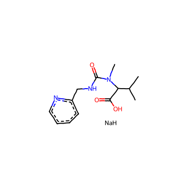 CC(C)C(C(=O)O)N(C)C(=O)NCc1ccccn1.[NaH]